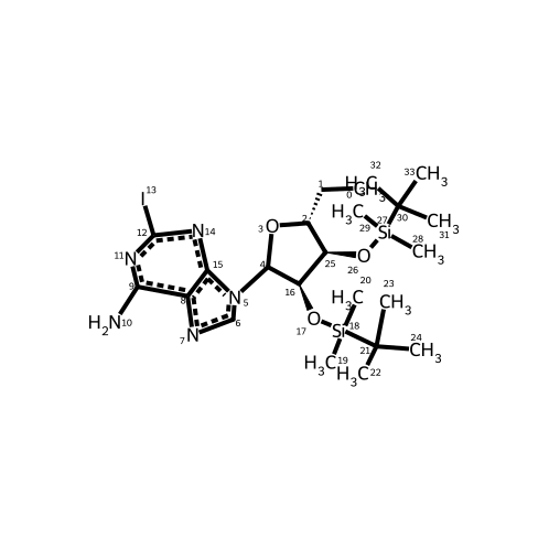 CC[C@H]1OC(n2cnc3c(N)nc(I)nc32)[C@H](O[Si](C)(C)C(C)(C)C)[C@@H]1O[Si](C)(C)C(C)(C)C